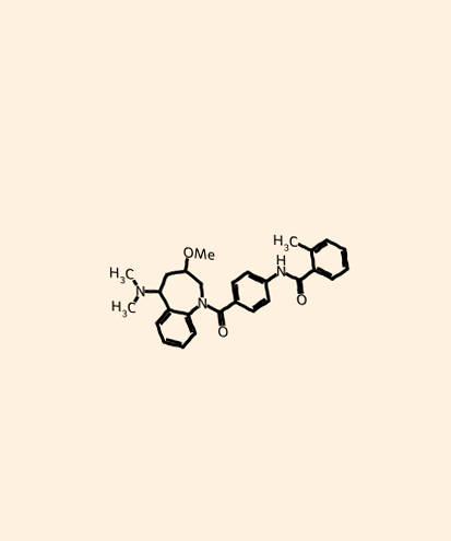 COC1CC(N(C)C)c2ccccc2N(C(=O)c2ccc(NC(=O)c3ccccc3C)cc2)C1